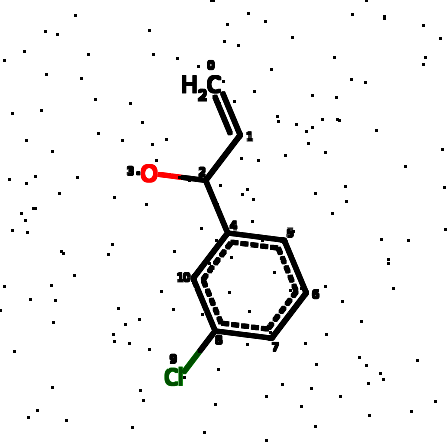 C=CC([O])c1cccc(Cl)c1